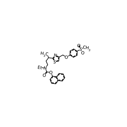 CCN(CCC(C)c1nc(COc2ccc(S(C)(=O)=O)cc2)cs1)C(=O)Oc1cccc2ccccc12